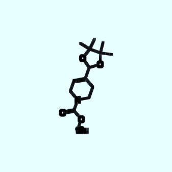 CC(C)(C)OC(=O)N1CC=C(C2OC(C)(C)C(C)(C)O2)CC1